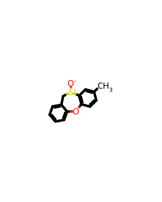 Cc1ccc2c(c1)[S+]([O-])Cc1ccccc1O2